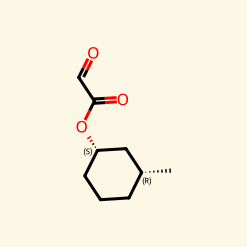 C[C@@H]1CCC[C@H](OC(=O)C=O)C1